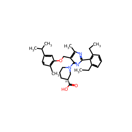 CCc1cccc(CC)c1-c1nc(C)c(COc2cc(C(C)C)ccc2C)c(N2CCC[C@H](C(=O)O)C2)n1